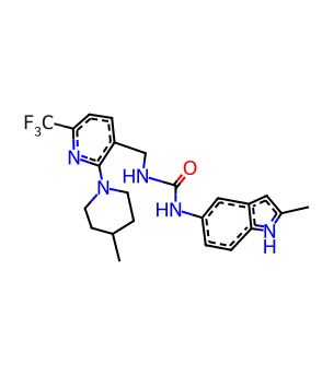 Cc1cc2cc(NC(=O)NCc3ccc(C(F)(F)F)nc3N3CCC(C)CC3)ccc2[nH]1